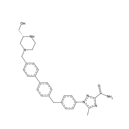 Cc1nc(C(N)=O)nn1-c1ccc(Cc2ccc(-c3ccc(CN4CCN[C@@H](CO)C4)cc3)cc2)cc1